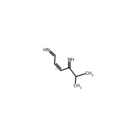 CC(C)C(=N)/C=C\C=N